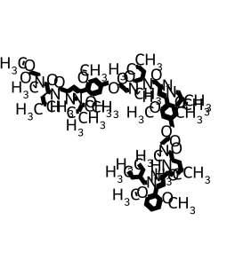 CCC(C)Cn1nc(C(=O)NC(CC(C)C)C(=O)N(C)CC(=O)OCc2cc(OC)c(-c3cc(C(=O)N[C@@H](CC(C)C)C(=O)N(C)CC(=O)OC)nn3C(C)C(C)C)c(OC)c2)cc1-c1c(OC)cc(COC(=O)CN(C)C(=O)C(CC(C)C)NC(=O)c2cc(-c3c(OC)cccc3OC)n(CC(CC)CC)n2)cc1OC